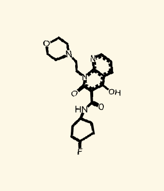 O=C(NC1CCC(F)CC1)c1c(O)c2cccnc2n(CCN2CCOCC2)c1=O